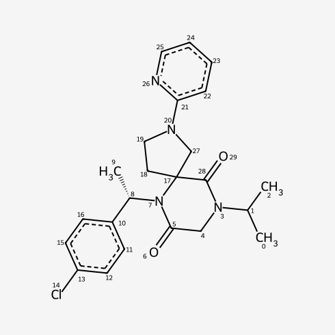 CC(C)N1CC(=O)N([C@@H](C)c2ccc(Cl)cc2)C2(CCN(c3ccccn3)C2)C1=O